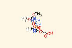 COc1cc(OC)nc(NC(=O)NS(=O)(=O)c2c(C(=O)OCCCC(=O)O)cnn2C)n1